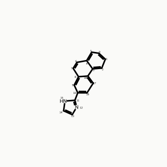 c1ccc2c(c1)ccc1cc(-c3ncc[nH]3)ccc12